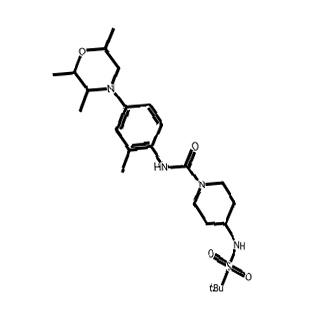 Cc1cc(N2CC(C)OC(C)C2C)ccc1NC(=O)N1CCC(NS(=O)(=O)C(C)(C)C)CC1